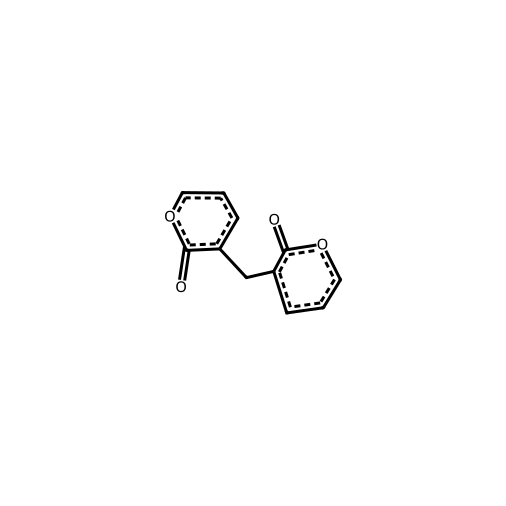 O=c1occcc1Cc1cccoc1=O